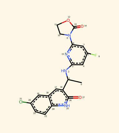 CC(Nc1cc(F)cc(N2CCOC2=O)n1)c1cc2cc(Cl)ccc2[nH]c1=O